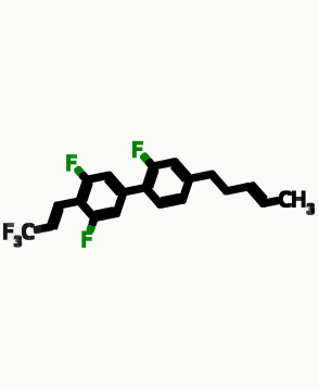 C/C=C/CCc1ccc(-c2cc(F)c(/C=C/C(F)(F)F)c(F)c2)c(F)c1